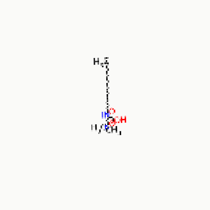 CCCCCCCCCCCCCCCCCC(=O)NC(CCN(C)C)CC(=O)O